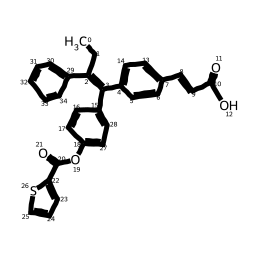 CC/C(=C(\c1ccc(/C=C/C(=O)O)cc1)c1ccc(OC(=O)c2cccs2)cc1)c1ccccc1